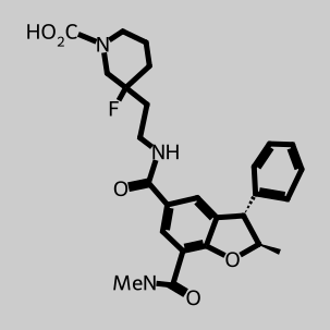 CNC(=O)c1cc(C(=O)NCCC2(F)CCCN(C(=O)O)C2)cc2c1O[C@H](C)[C@H]2c1ccccc1